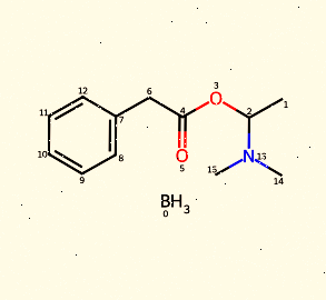 B.CC(OC(=O)Cc1ccccc1)N(C)C